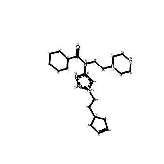 O=C(C1CCCCC1)N(CCN1CCOCC1)c1cn(CCC2CC=CC2)nn1